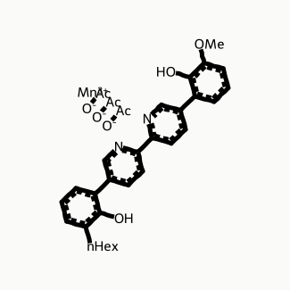 CC(=O)[O-].CC(=O)[O-].CC(=O)[O-].CCCCCCc1cccc(-c2ccc(-c3ccc(-c4cccc(OC)c4O)cn3)nc2)c1O.[Mn+3]